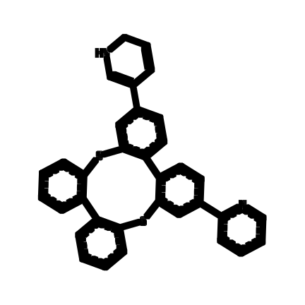 C1=CC(c2ccc3c(c2)Sc2ccccc2-c2ccccc2Sc2cc(-c4ccccn4)ccc2-3)=CNC1